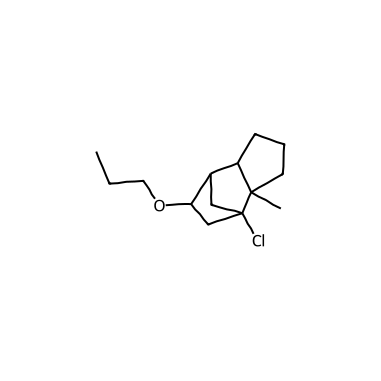 CCCOC1CC2(Cl)CC1C1CCCC12C